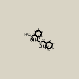 CN(Cc1ccccc1B(O)O)CC1CCCCC1